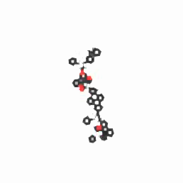 CC1(C)c2ccccc2-c2ccc(-c3nc(-c4ccccc4)nc(-c4ccc5c(c4)-c4ccccc4C54c5ccccc5N(c5ccc(-c6cccc7c8ccc(-c9nc(-c%10ccccc%10)nc(-c%10ccc%11c(c%10)C%10(c%12ccccc%12-%11)c%11ccccc%11N(c%11ccccc%11)c%11ccccc%11%10)n9)cc8c8ccccc8c67)cc5)c5ccccc54)n3)cc21